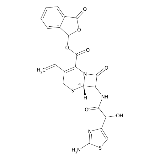 C=CC1=C(C(=O)OC2OC(=O)c3ccccc32)N2C(=O)C(NC(=O)C(O)c3csc(N)n3)[C@@H]2SC1